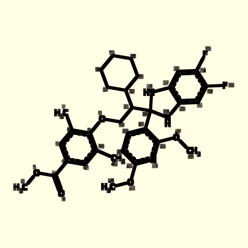 COC(=O)c1cc(C)c(OCC(C2CCCCC2)C2(c3ccc(OC)nc3OC)Nc3cc(F)c(F)cc3N2)c(C)c1